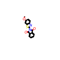 COc1ccc2nc(N3C(=O)c4ccccc4C3=O)sc2c1